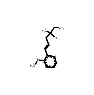 CCC(C)(C)C/C=C/c1ccccc1OC